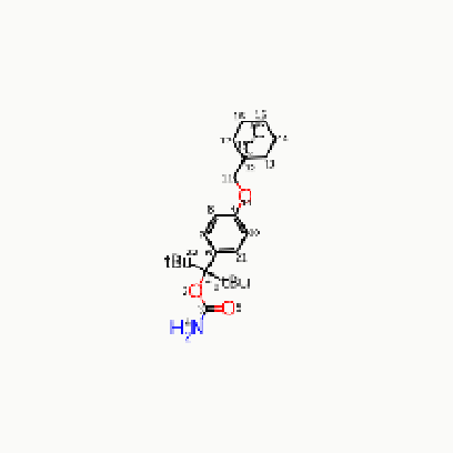 CC(C)(C)C(OC(N)=O)(c1ccc(OCC23CCC(CC2)CC3)cc1)C(C)(C)C